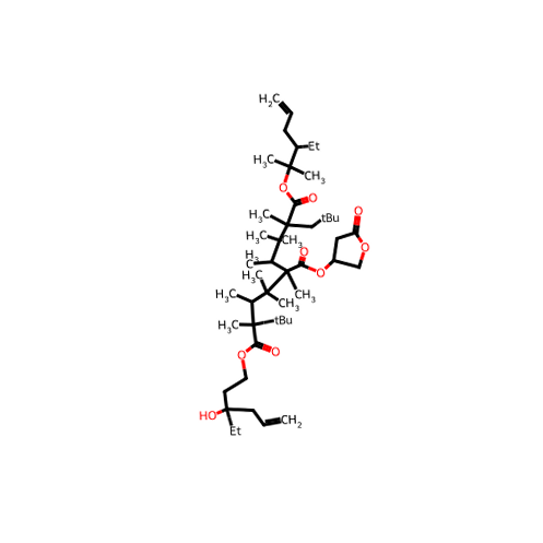 C=CCC(CC)C(C)(C)OC(=O)C(C)(CC(C)(C)C)C(C)(C)C(C)C(C)(C(=O)OC1COC(=O)C1)C(C)(C)C(C)C(C)(C(=O)OCCC(O)(CC)CC=C)C(C)(C)C